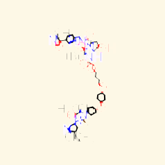 Cc1ncoc1-c1ccc(CNC(=O)[C@@H]2C[C@@H](O)CN2C(=O)C(NC(=O)COCCCCOc2ccc(Oc3ccc(N4C(=S)N(c5cnc(C#N)c(C(F)(F)F)c5)C(=O)C4(C)C)cc3)cc2)C(C)(C)C)cc1